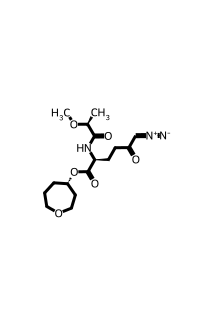 CO[C@@H](C)C(=O)N[C@@H](CCC(=O)C=[N+]=[N-])C(=O)O[C@H]1CCCOCC1